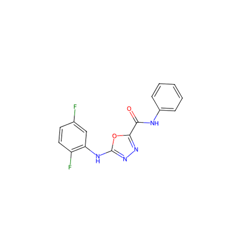 O=C(Nc1ccccc1)c1nnc(Nc2cc(F)ccc2F)o1